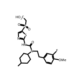 COc1ccc(CCN(C(=O)Nc2ncc(S(=O)(=O)CC(=O)O)s2)C2CCC(C)CC2)cc1F